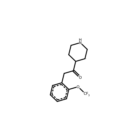 O=C(Cc1ccccc1OC(F)(F)F)C1[CH]CNCC1